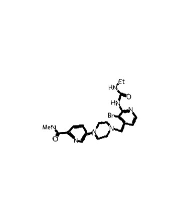 CCNC(=O)Nc1nccc(CN2CCN(c3ccc(C(=O)NC)nc3)CC2)c1Br